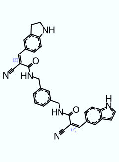 N#C/C(=C/c1ccc2c(c1)CCN2)C(=O)NCc1cccc(CNC(=O)/C(C#N)=C\c2ccc3[nH]ccc3c2)c1